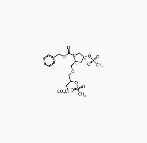 CCOC(=O)CC(COC[C@@H]1C[C@@H](OS(C)(=O)=O)CN1C(=O)OCc1ccccc1)OS(C)(=O)=O